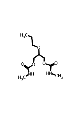 CCCOC(COC(=O)NC)COC(=O)NC